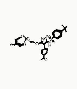 CC(=O)c1ccc(-c2c(OCCOc3ncc(Br)cn3)nn(C)c2NS(=O)(=O)c2ccc(C(C)(C)C)cc2)cc1